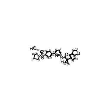 O=C(Nc1cccc(-c2ccc(S(=O)(=O)N3CCC[C@@H]3CO)cc2)n1)C1(c2ccc3c(c2)CCO3)CC1